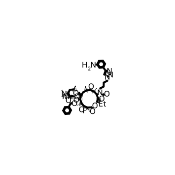 CC[C@H]1OC(=O)[C@@](C)(F)C(=O)[C@H](C)[C@@H](OC2O[C@H](C)C[C@H](N(C)C)[C@H]2OC(=O)c2ccccc2)[C@@](C)(OC)C[C@@H](C)C(=O)[C@H](C)C2N(CCCCn3cc(-c4cccc(N)c4)nn3)C(=O)O[C@@]21C